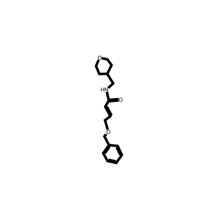 O=C(/C=C/COCc1ccccc1)NCC1CCOCC1